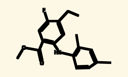 CCc1cc(Nc2ccc(C)cc2C)c(C(=O)OC)cc1F